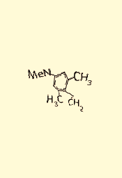 C=Cc1c(C)cc(NC)cc1C